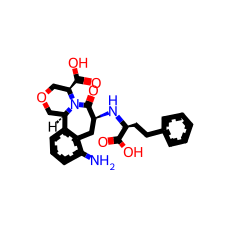 Nc1cccc2c1C[C@H](N[C@@H](CCc1ccccc1)C(=O)O)C(=O)N1[C@@H]2COC[C@H]1C(=O)O